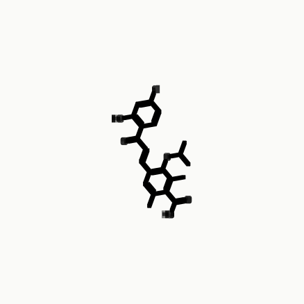 Cc1cc(/C=C/C(=O)c2ccc(Cl)cc2O)c(OC(C)C)c(C)c1C(=O)O